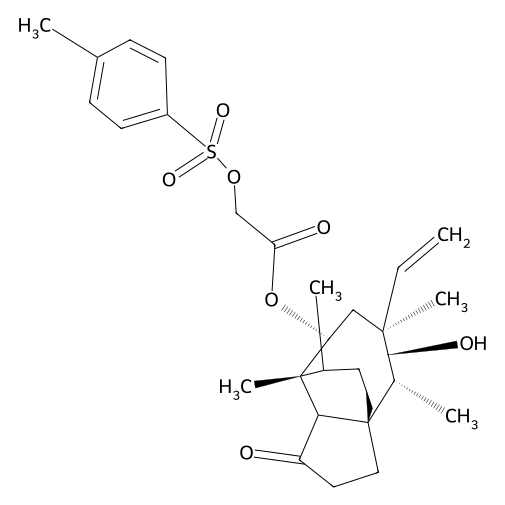 C=C[C@]1(C)C[C@@H](OC(=O)COS(=O)(=O)c2ccc(C)cc2)[C@]2(C)C(C)CC[C@]3(CCC(=O)C32)[C@@H](C)[C@@H]1O